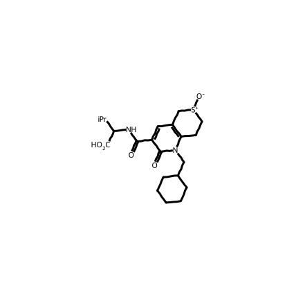 CC(C)C(NC(=O)c1cc2c(n(CC3CCCCC3)c1=O)CC[S+]([O-])C2)C(=O)O